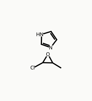 CC1OC1Cl.c1c[nH]cn1